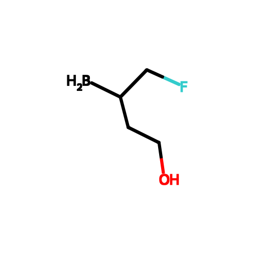 BC(CF)CCO